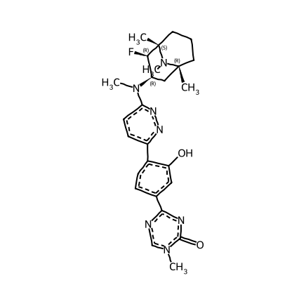 CN(c1ccc(-c2ccc(-c3ncn(C)c(=O)n3)cc2O)nn1)[C@@H]1C[C@@]2(C)CCC[C@@](C)([C@@H]1F)N2C